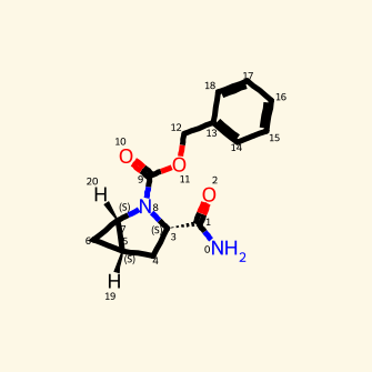 NC(=O)[C@@H]1C[C@@H]2C[C@@H]2N1C(=O)OCc1ccccc1